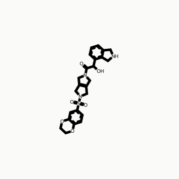 O=C(C(O)c1cccc2c1CNC2)N1CC2=C(C1)CN(S(=O)(=O)c1ccc3c(c1)OCCO3)C2